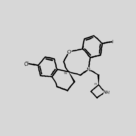 Clc1ccc2c(c1)CCC[C@]21COc2ccc(I)cc2N(C[C@@H]2CCN2)C1